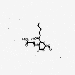 CCCCCC(O)c1cc(C=O)ccc1C=CC(=O)O